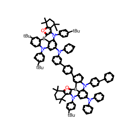 CC(C)(C)c1ccc(N2c3ccc(C(C)(C)C)cc3B3c4oc5c(c4N(c4ccc(C(C)(C)C)cc4)c4cc(N(c6ccccc6)c6cccc(-c7ccc(-c8ccc9c(c8)B8c%10oc%11c(c%10N(c%10ccc(C(C)(C)C)cc%10)c%10cc(N(c%12ccccc%12)c%12ccccc%12)cc(c%108)N9c8ccc(-c9ccccc9)cc8)C(C)(C)CCC%11(C)C)cc7)c6)cc2c43)C(C)(C)CCC5(C)C)cc1